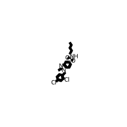 CCCCCNS(=O)(=O)c1ccc2c(c1)nc(C)n2Cc1ccc(Cl)cc1Cl